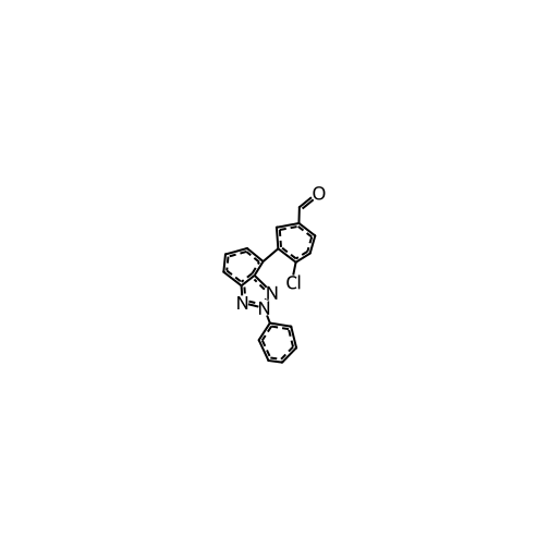 O=Cc1ccc(Cl)c(-c2cccc3nn(-c4ccccc4)nc23)c1